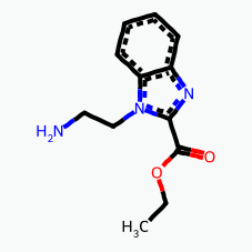 CCOC(=O)c1nc2ccccc2n1CCN